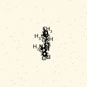 CC12CC3CC(C)(C1)CC(NC(=O)N1CCn4nc(-c5ccc(Cl)c(Cl)c5)c(C(N)=O)c4C1)(C3)C2